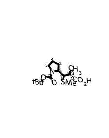 CS[C@@H](C1CCCN1C(=O)OC(C)(C)C)[C@H](C)C(=O)O